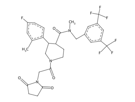 Cc1cc(F)ccc1C1CN(C(=O)CN2C(=O)CCC2=O)CCC1C(=O)N(C)Cc1cc(C(F)(F)F)cc(C(F)(F)F)c1